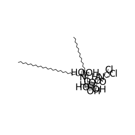 CCCCCCCCCCCCCCCCCCCCCCCCCCN[C@@H](CO[C@H]1O[C@H](COC(=O)Nc2ccc(Cl)c(Cl)c2)[C@H](O)[C@H](O)[C@H]1O)[C@H](O)[C@H](O)CCCCCCCCCCCCCC